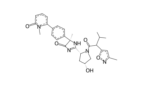 Cc1cc(C(C(=O)N2C[C@H](O)C[C@@H]2C2=NC(=O)[C@@](C)(c3ccc(-c4cccc(=O)n4C)cc3)N2)C(C)C)on1